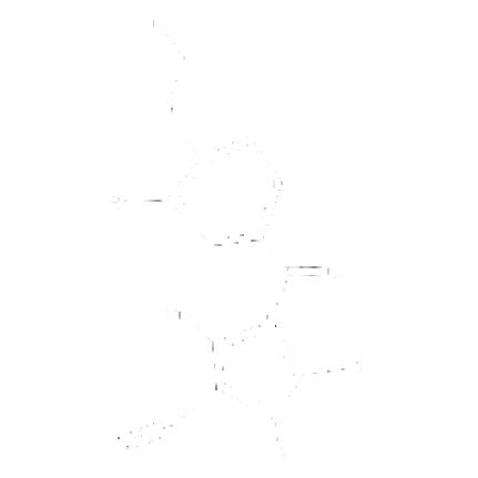 CCOc1ccc(C(=O)n2c(Br)c(Br)c(C#N)c2Br)cc1Br